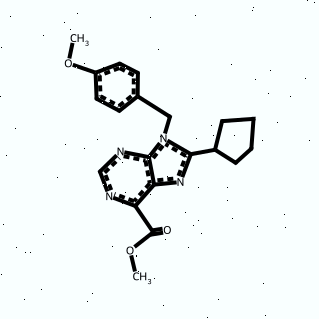 COC(=O)c1ncnc2c1nc(C1CCCC1)n2Cc1ccc(OC)cc1